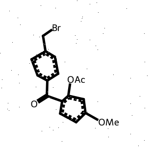 COc1ccc(C(=O)c2ccc(CBr)cc2)c(OC(C)=O)c1